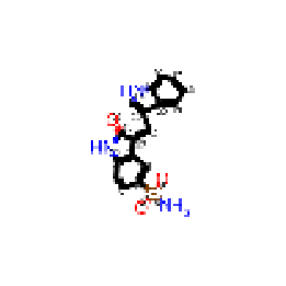 NS(=O)(=O)c1ccc2c(c1)C(=Cc1c[nH]c3ccccc13)C(=O)N2